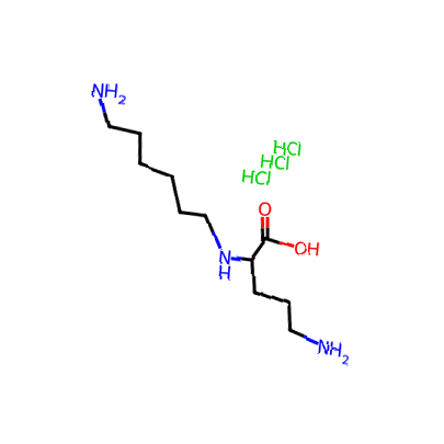 Cl.Cl.Cl.NCCCCCCNC(CCCN)C(=O)O